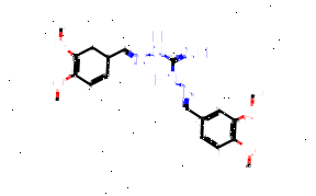 COC1=C(OC)CC(/C=N/NC(=N)N/N=C/c2ccc(OC)c(OC)c2)C=C1